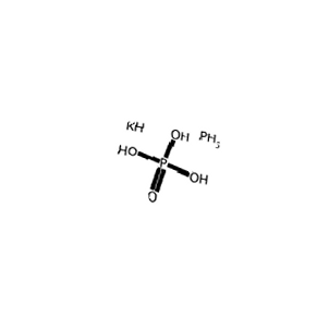 O=P(O)(O)O.P.[KH]